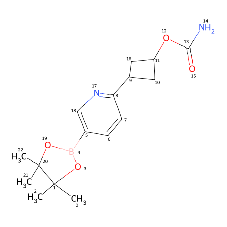 CC1(C)OB(c2ccc(C3CC(OC(N)=O)C3)nc2)OC1(C)C